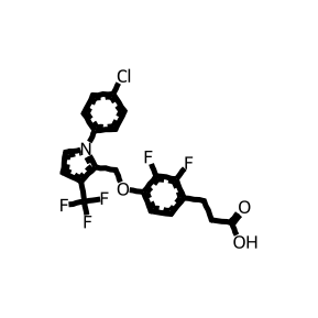 O=C(O)CCc1ccc(OCc2c(C(F)(F)F)ccn2-c2ccc(Cl)cc2)c(F)c1F